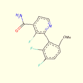 COc1ccc(F)c(F)c1-c1nccc(C(N)=O)c1F